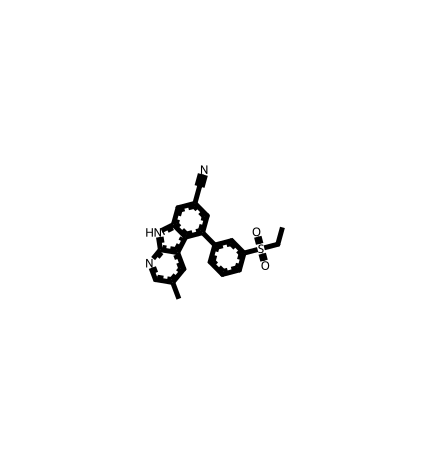 CCS(=O)(=O)c1cccc(-c2cc(C#N)cc3[nH]c4ncc(C)cc4c23)c1